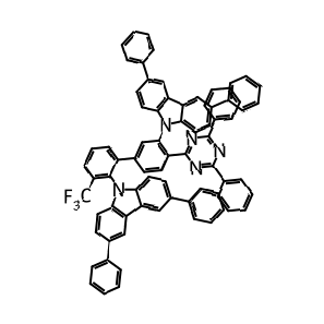 FC(F)(F)c1cccc(-c2ccc(-c3nc(-c4ccccc4)nc(-c4ccccc4)n3)c(-n3c4ccc(-c5ccccc5)cc4c4cc(-c5ccccc5)ccc43)c2)c1-n1c2ccc(-c3ccccc3)cc2c2cc(-c3ccccc3)ccc21